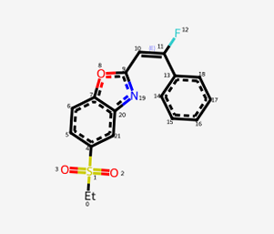 CCS(=O)(=O)c1ccc2oc(/C=C(/F)c3ccccc3)nc2c1